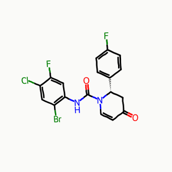 O=C1C=CN(C(=O)Nc2cc(F)c(Cl)cc2Br)[C@H](c2ccc(F)cc2)C1